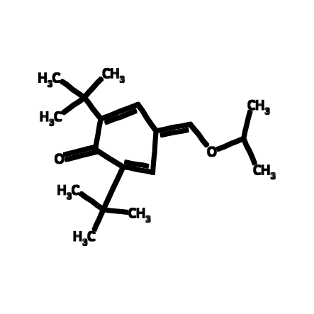 CC(C)OC=C1C=C(C(C)(C)C)C(=O)C(C(C)(C)C)=C1